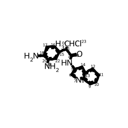 CC(C(=O)Nc1cnc2ccccc2c1)c1ccc(N)c(N)c1.Cl